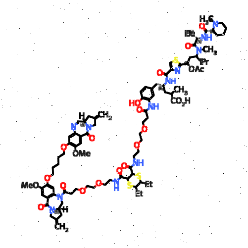 C=C1C[C@H]2CN(C(=O)CCOCCOCCNC(=O)C3SC(CC)C(CC)SC3C(=O)NCCOCCOCCC(=O)Nc3cc(C[C@@H](CC(C)C(=O)O)NC(=O)c4csc([C@@H](CC(C(C)C)N(C)C(=O)[C@@H](NC(=O)[C@H]5CCCCN5C)[C@@H](C)CC)OC(C)=O)n4)ccc3O)c3cc(OCCCCCOc4cc5c(cc4OC)C(=O)N4CC(=C)C[C@H]4C=N5)c(OC)cc3C(=O)N2C1